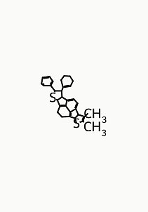 CC1=C(C)C2c3ccc4c5c3=C(CCC=5C3SC(c5ccccc5)C(C5=CCCCC5)C43)C2S1